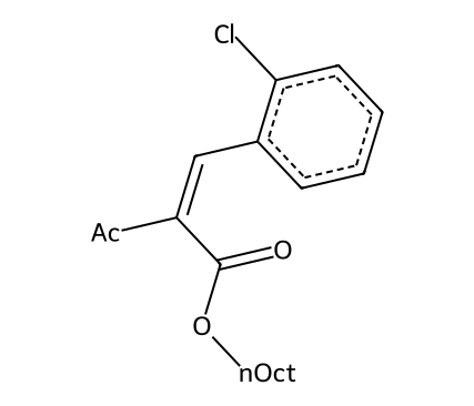 CCCCCCCCOC(=O)/C(=C\c1ccccc1Cl)C(C)=O